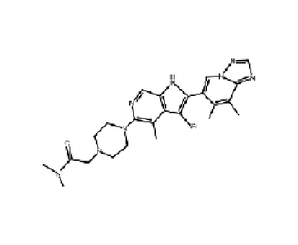 Cc1c(-c2[nH]c3cnc(N4CCN(CC(=O)N(C)C)CC4)c(C)c3c2C(C)C)cn2ncnc2c1C